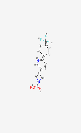 O=C(O)N1CC(c2ccc(C3CCC(C(F)(F)F)CC3)nc2)C1